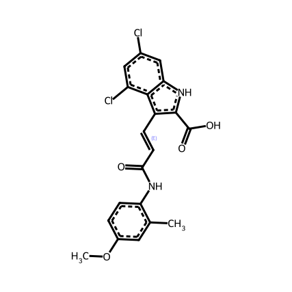 COc1ccc(NC(=O)/C=C/c2c(C(=O)O)[nH]c3cc(Cl)cc(Cl)c23)c(C)c1